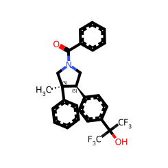 C[C@]1(c2ccccc2)CN(C(=O)c2ccccc2)C[C@H]1c1ccc(C(O)(C(F)(F)F)C(F)(F)F)cc1